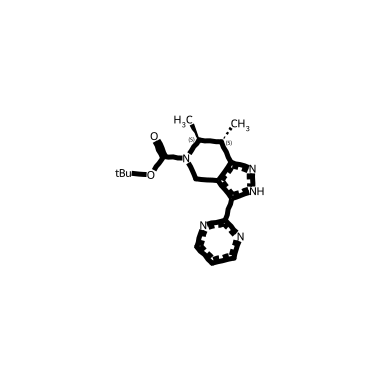 C[C@@H]1c2n[nH]c(-c3ncccn3)c2CN(C(=O)OC(C)(C)C)[C@H]1C